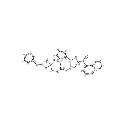 O=C(c1cccc2ccccc12)N1CC(CN2CCC(O)(CCCc3ccccc3)CC2)C(c2ccsc2)C1